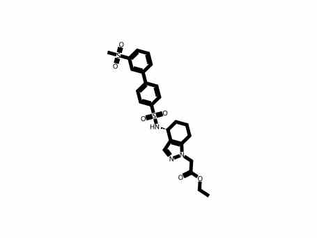 CCOC(=O)Cn1ncc2c1CCC[C@H]2NS(=O)(=O)c1ccc(-c2cccc(S(C)(=O)=O)c2)cc1